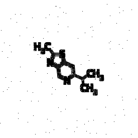 Cc1nc2cnc(C(C)C)cc2s1